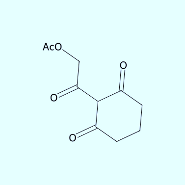 CC(=O)OCC(=O)C1C(=O)CCCC1=O